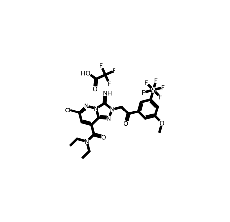 CCN(CC)C(=O)c1cc(Cl)nn2c(=N)n(CC(=O)c3cc(OC)cc(S(F)(F)(F)(F)F)c3)nc12.O=C(O)C(F)(F)F